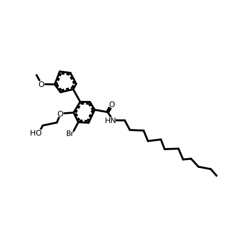 CCCCCCCCCCCCNC(=O)c1cc(Br)c(OCCO)c(-c2cccc(OC)c2)c1